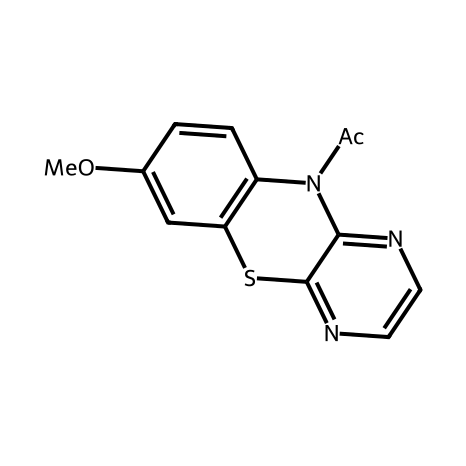 COc1ccc2c(c1)Sc1nccnc1N2C(C)=O